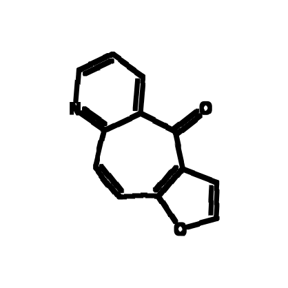 O=c1c2cccnc2ccc2occc12